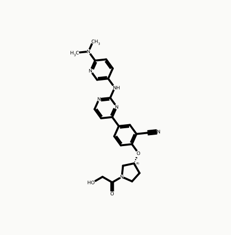 CN(C)c1ccc(Nc2nccc(-c3ccc(O[C@@H]4CCN(C(=O)CO)C4)c(C#N)c3)n2)cn1